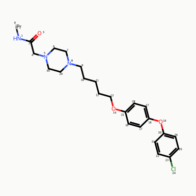 CC(C)NC(=O)CN1CCN(CCCCCOc2ccc(Oc3ccc(Cl)cc3)cc2)CC1